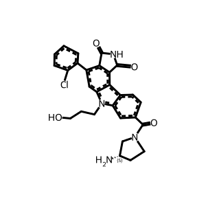 N[C@H]1CCN(C(=O)c2ccc3c4c5c(c(-c6ccccc6Cl)cc4n(CCCO)c3c2)C(=O)NC5=O)C1